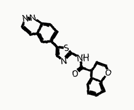 O=C(Nc1ncc(-c2ccc3nnccc3c2)s1)C1CCOc2ccccc21